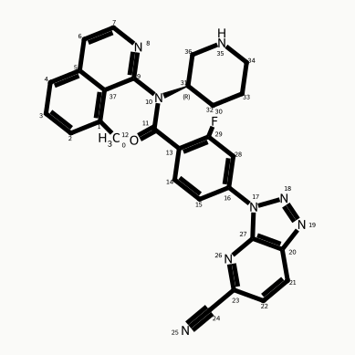 Cc1cccc2ccnc(N(C(=O)c3ccc(-n4nnc5ccc(C#N)nc54)cc3F)[C@@H]3CCCNC3)c12